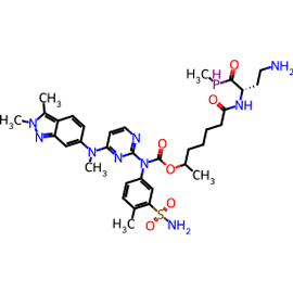 CPC(=O)[C@H](CCN)NC(=O)CCCCC(C)OC(=O)N(c1ccc(C)c(S(N)(=O)=O)c1)c1nccc(N(C)c2ccc3c(C)n(C)nc3c2)n1